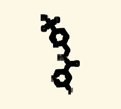 CCS(=O)(=O)c1ccc(CNC(=O)c2cncc(F)c2)nc1